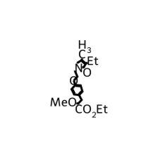 CCOC(=O)C(Cc1ccc(OCCN2CC(C)=C(CC)C2=O)cc1)OC